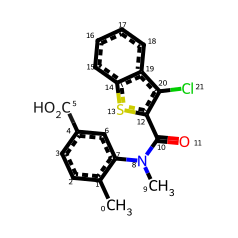 Cc1ccc(C(=O)O)cc1N(C)C(=O)c1sc2ccccc2c1Cl